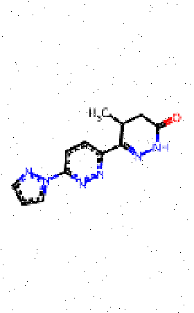 CC1CC(=O)NN=C1c1ccc(-n2cccn2)nn1